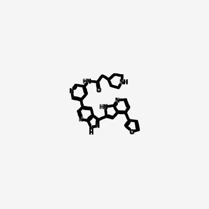 O=C(CC1CCNCC1)Nc1cncc(-c2cnc3[nH]nc(-c4cc5c(-c6ccoc6)ccnc5[nH]4)c3c2)c1